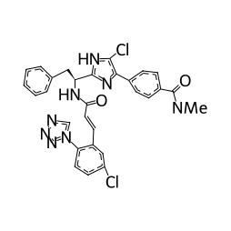 CNC(=O)c1ccc(-c2nc([C@H](Cc3ccccc3)NC(=O)/C=C/c3cc(Cl)ccc3-n3cnnn3)[nH]c2Cl)cc1